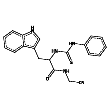 N#CCNC(=O)C(Cc1c[nH]c2ccccc12)NC(=S)Nc1ccccc1